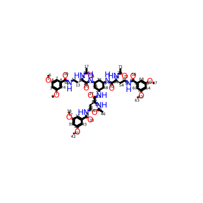 COc1cc(OC)cc(C(=O)NCC[C@H](NC(C)=O)C(=O)NC2CC(NC(=O)[C@H](CCNC(=O)c3cc(OC)cc(OC)c3)NC(C)=O)CC(NC(=O)[C@H](CCNC(=O)c3cc(OC)cc(OC)c3)NC(C)=O)C2)c1